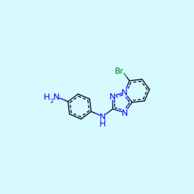 Nc1ccc(Nc2nc3cccc(Br)n3n2)cc1